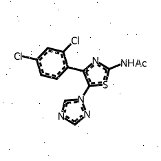 CC(=O)Nc1nc(-c2ccc(Cl)cc2Cl)c(-n2cncn2)s1